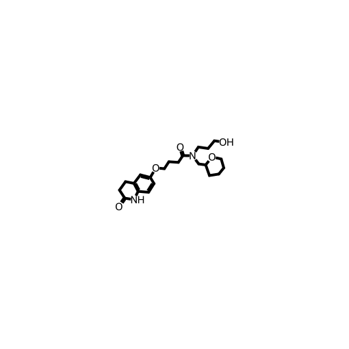 O=C1CCc2cc(OCCCC(=O)N(CCCO)CC3CCCCO3)ccc2N1